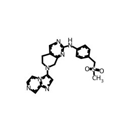 CS(=O)(=O)Cc1ccc(Nc2ncc3c(n2)CN(c2cnc4cnccn24)CC3)cc1